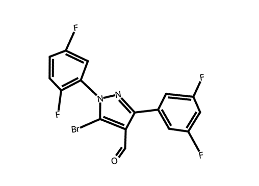 O=Cc1c(-c2cc(F)cc(F)c2)nn(-c2cc(F)ccc2F)c1Br